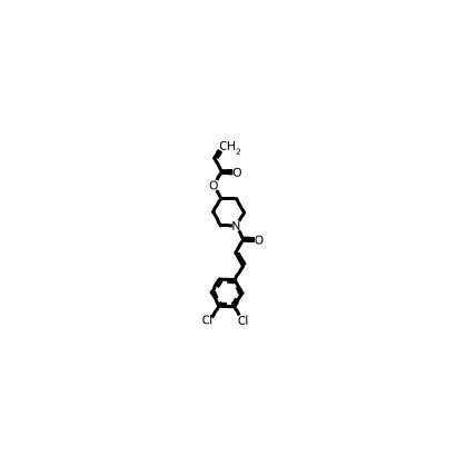 C=CC(=O)OC1CCN(C(=O)/C=C/c2ccc(Cl)c(Cl)c2)CC1